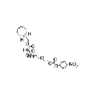 O=C(NS(=O)(=O)NCCOCCOC(=O)Oc1ccc([N+](=O)[O-])cc1)OC[C@@H]1[C@@H]2CC/C=C\CC[C@@H]21